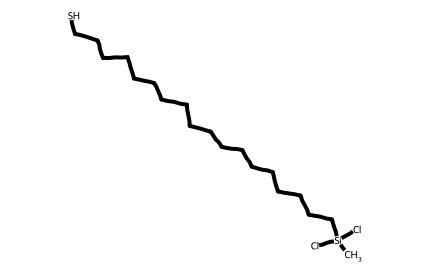 C[Si](Cl)(Cl)CCCCCCCCCCCCCCCCCCS